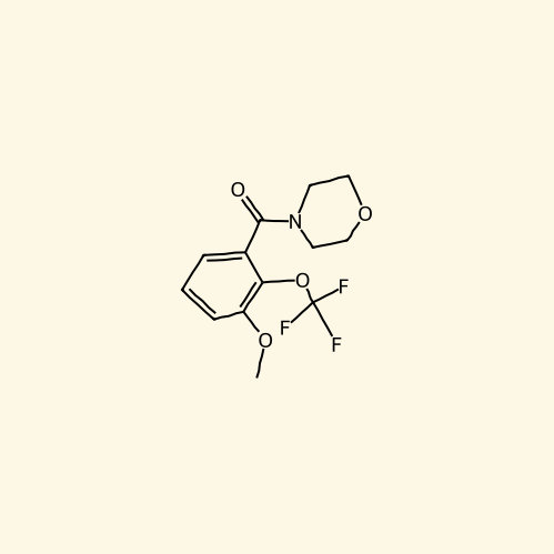 COc1cccc(C(=O)N2CCOCC2)c1OC(F)(F)F